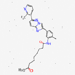 COC(=O)CCCCCCC(=O)Nc1cc(-c2cn3nc(-c4cccnc4C(F)(F)F)ccc3n2)ccc1C